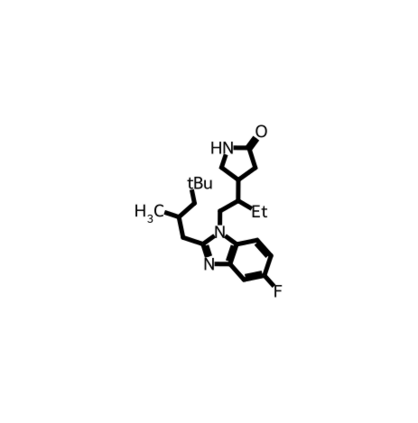 CCC(Cn1c(CC(C)CC(C)(C)C)nc2cc(F)ccc21)C1CNC(=O)C1